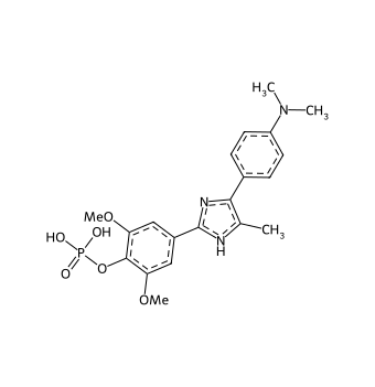 COc1cc(-c2nc(-c3ccc(N(C)C)cc3)c(C)[nH]2)cc(OC)c1OP(=O)(O)O